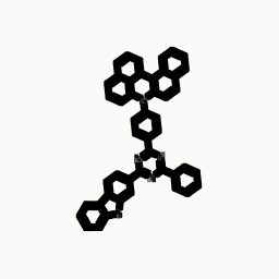 c1ccc(-c2nc(-c3ccc(N4c5ccc6ccccc6c5-c5cccc6cccc4c56)cc3)nc(-c3ccc4c(c3)sc3ccccc34)n2)cc1